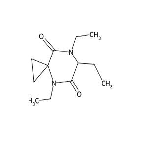 CCC1C(=O)N(CC)C2(CC2)C(=O)N1CC